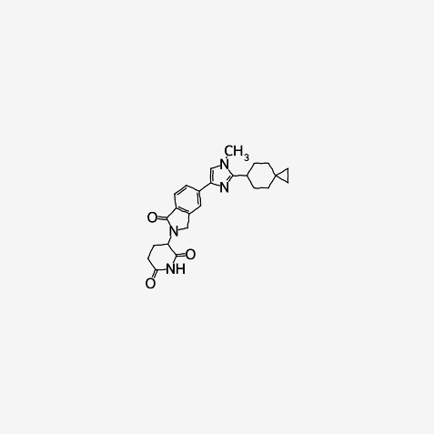 Cn1cc(-c2ccc3c(c2)CN(C2CCC(=O)NC2=O)C3=O)nc1C1CCC2(CC1)CC2